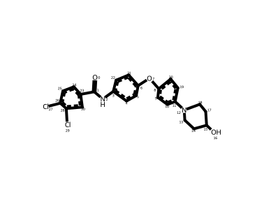 O=C(Nc1ccc(Oc2ccc(N3CCC(O)CC3)cc2)cc1)c1ccc(Cl)c(Cl)c1